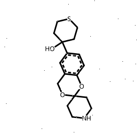 OC1(c2ccc3c(c2)COC2(CCNCC2)O3)CCSCC1